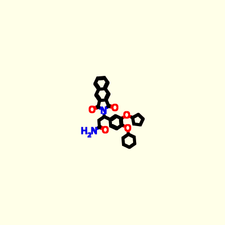 NC(=O)CC(c1ccc(OC2CCCCC2)c(OC2CCCC2)c1)N1C(=O)c2cc3ccccc3cc2C1=O